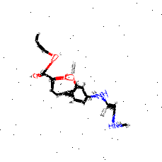 CCOC(=O)c1cc2ccc(NCCNC)cc2o1